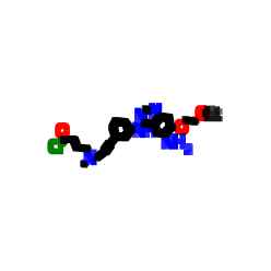 CCOCCOc1cc2ncnc(Nc3cccc(C#CCN(C)C/C=C/C(=O)Cl)c3)c2cc1N